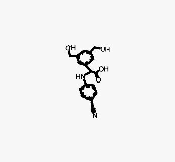 N#Cc1ccc(NC(C(=O)O)c2cc(CO)cc(CO)c2)cc1